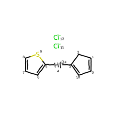 C1=CC[C]([Hf+2][c]2cccs2)=C1.[Cl-].[Cl-]